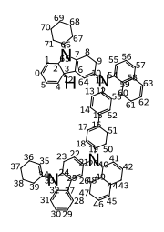 C1=CC2[C@@H](C=C1)C1=C(CCC(N(c3ccc(C4=CC=C(N(C5=CCC6C(=C5)c5ccccc5N6C5=CCCCC5)C5C=CCC6C=CCCC65)CC4)cc3)c3cccc4c3CCC=C4)=C1)N2C1CCCCC1